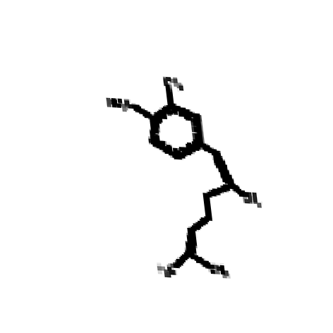 CC(C)=CCCC(C)=Cc1ccc(C(=O)O)c(C)c1